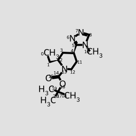 CC[C@H]1C[C@@H](c2nncn2C)CCN1C(=O)OC(C)(C)C